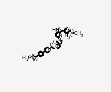 CC(C)Oc1ccc(-c2n[nH]c3ccc(N4CC[C@]5(CCN(CC(=O)N6CC=C(c7ccc(-c8ncn(C)n8)cc7)CC6)C5)C4=O)nc23)cn1